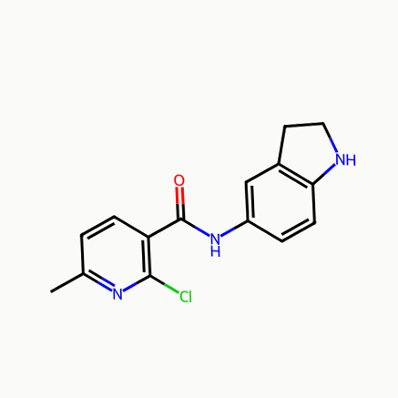 Cc1ccc(C(=O)Nc2ccc3c(c2)CCN3)c(Cl)n1